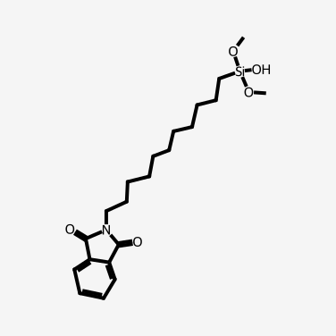 CO[Si](O)(CCCCCCCCCCCN1C(=O)c2ccccc2C1=O)OC